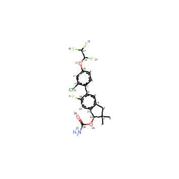 CC1(C)Cc2cc(-c3ccc(OC(F)C(F)F)cc3Cl)c(F)cc2[C@@H]1OC(N)=O